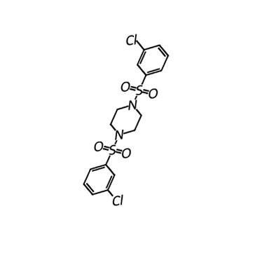 O=S(=O)(c1cccc(Cl)c1)N1CCN(S(=O)(=O)c2cccc(Cl)c2)CC1